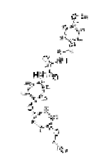 C#CCOc1ccc(Oc2ccc(NC(=O)C(=O)NCCc3ccc(OC)cc3)cc2)cc1